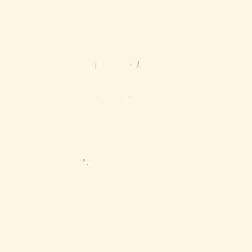 CC(C)C(=O)Oc1ccc2ncccc2c1